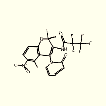 Cc1c([N+](=O)[O-])ccc2c1C(n1ccccc1=O)=C(NC(=O)C(F)(F)C(F)(F)F)C(C)(C)O2